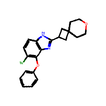 Brc1ccc2[nH]c(C3CC4(CCOCC4)C3)nc2c1Oc1ccccc1